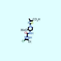 CCc1[nH]c(C(=O)NC2CCN(c3nc(C)c(C(=O)O)s3)CC2OC)nc1Cl